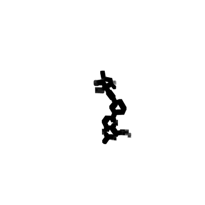 Cc1nc(N)c2nc(-c3cccc(C#CC4(O)C(=O)N(C)C[C@H]4C)c3)ccc2n1